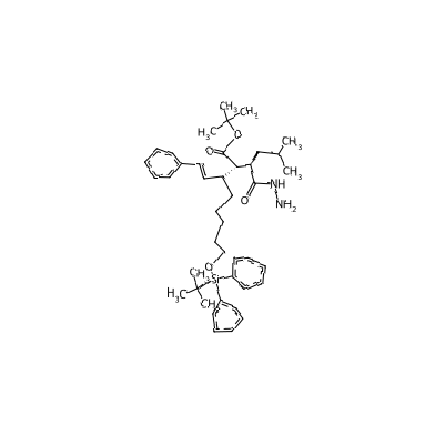 CC(C)C[C@@H](C(=O)NN)[C@@H](C(=O)OC(C)(C)C)C(/C=C/c1ccccc1)CCCCCO[Si](c1ccccc1)(c1ccccc1)C(C)(C)C